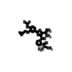 C[C@H](N)c1oc(-c2ccc(OC(F)F)c(OCC3CC3)c2)nc1C(=O)N1CCC[C@H]1C(=O)N(C)C